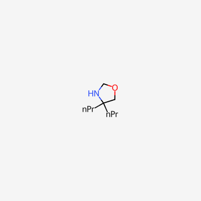 CCCC1(CCC)COCN1